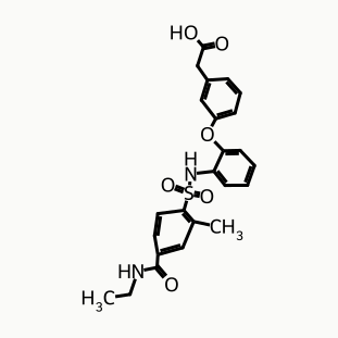 CCNC(=O)c1ccc(S(=O)(=O)Nc2ccccc2Oc2cccc(CC(=O)O)c2)c(C)c1